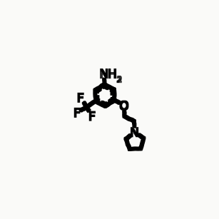 Nc1cc(OCCN2CCCC2)cc(C(F)(F)F)c1